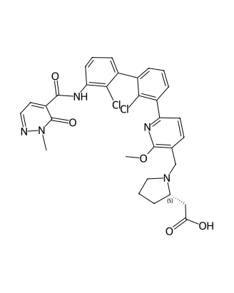 COc1nc(-c2cccc(-c3cccc(NC(=O)c4ccnn(C)c4=O)c3Cl)c2Cl)ccc1CN1CCC[C@H]1CC(=O)O